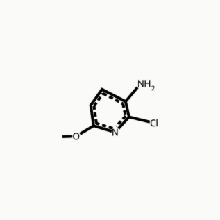 COc1ccc(N)c(Cl)n1